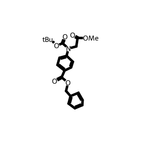 COC(=O)CN(C(=O)OC(C)(C)C)c1ccc(C(=O)OCc2ccccc2)cc1